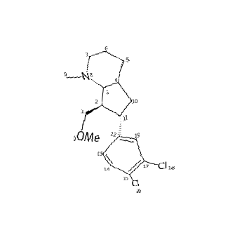 COC[C@H]1C2C(CCCN2C)C[C@@H]1c1ccc(Cl)c(Cl)c1